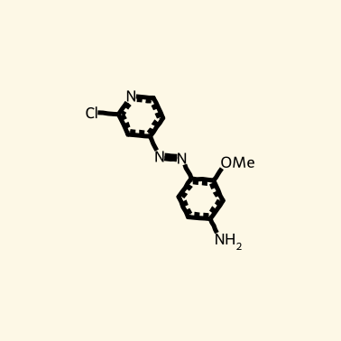 COc1cc(N)ccc1/N=N/c1ccnc(Cl)c1